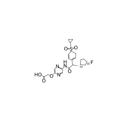 O=C(O)COc1cnc(NC(=O)C(C[C@@H]2CC[C@H](F)C2)C2=CCC(S(=O)(=O)C3CC3)C=C2)cn1